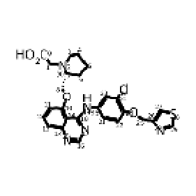 O=C(O)CN1CCCC[C@@H]1COc1cccc2ncnc(Nc3ccc(OCc4cscn4)c(Cl)c3)c12